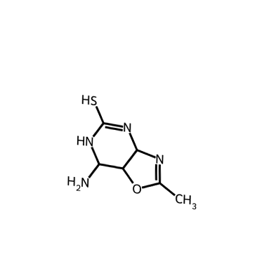 CC1=NC2N=C(S)NC(N)C2O1